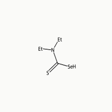 CCN(CC)C(=S)[SeH]